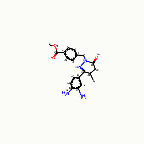 COC(=O)c1ccc(CN2N=C(c3ccc(N)c(N)c3)C(C)CC2=O)cc1